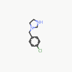 Clc1ccc(CN2CCNC2)cc1